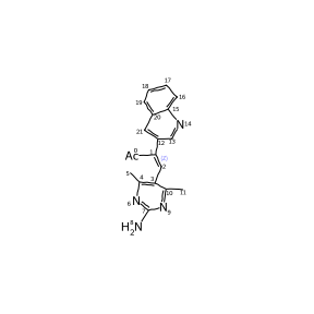 CC(=O)/C(=C\c1c(C)nc(N)nc1C)c1cnc2ccccc2c1